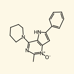 Cc1nc(N2CCCCC2)c2[nH]c(-c3ccccc3)cc2[n+]1[O-]